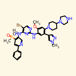 COc1cc(N2CCC(N3CCNCC3)CC2)c(-c2cnn(C)c2)cc1Nc1ncc(Br)c(Nc2cnc(-c3ccccc3)cc2P(C)(C)=O)n1